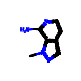 Cn1ncc2ccnc(N)c21